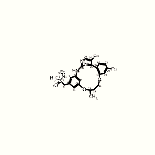 CCN=S(C)(=O)Cc1cc2cc(c1)OC(C)CCOc1cc(F)ccc1-c1nc(ncc1F)N2